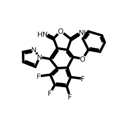 N=C1OC(=N)c2c1c(Oc1ccccc1)c1c(F)c(F)c(F)c(F)c1c2-n1cccn1